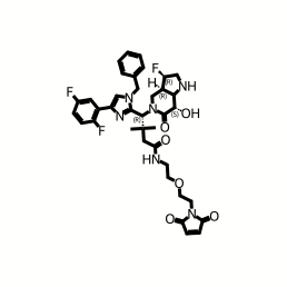 CC(C)(CC(=O)NCCOCCN1C(=O)C=CC1=O)[C@H](c1nc(-c2cc(F)ccc2F)cn1Cc1ccccc1)N1C[C@@H]2C(NC[C@@H]2F)[C@H](O)C1=O